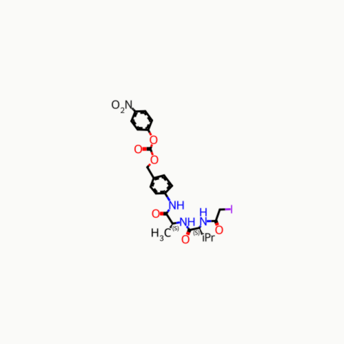 CC(C)[C@H](NC(=O)CI)C(=O)N[C@@H](C)C(=O)Nc1ccc(COC(=O)Oc2ccc([N+](=O)[O-])cc2)cc1